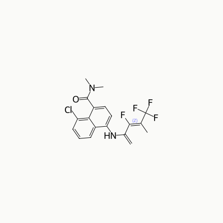 C=C(Nc1ccc(C(=O)N(C)C)c2c(Cl)cccc12)/C(F)=C(\C)C(F)(F)F